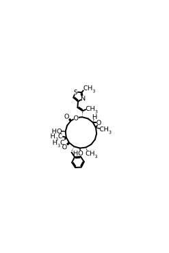 CC(=Cc1csc(C)n1)[C@@H]1C[C@H]2O[C@]2(C)CCC[C@H](C)[C@@H](O)[C@H](Cc2ccccc2)C(=O)C(C)(C)[C@@H](O)CC(=O)O1